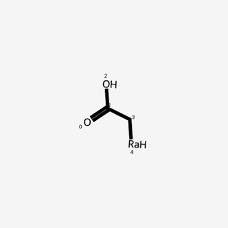 O=C(O)[CH2][RaH]